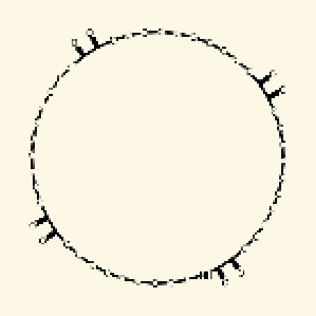 O=C1CCCCCCCCCCC(=O)C(=O)CCCCCCCCCCC(=O)C(=O)NCCCCCCCCCC(=O)C(=O)CCCCCCCCCCC1=O